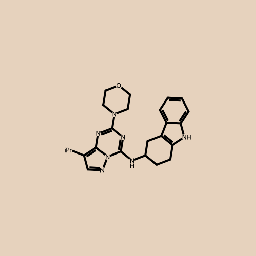 CC(C)c1cnn2c(NC3CCc4[nH]c5ccccc5c4C3)nc(N3CCOCC3)nc12